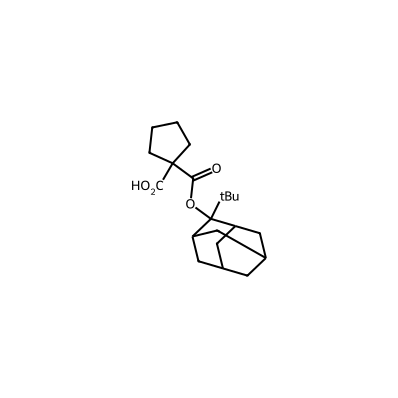 CC(C)(C)C1(OC(=O)C2(C(=O)O)CCCC2)C2CC3CC(C2)CC1C3